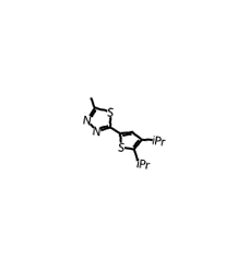 Cc1nnc(-c2cc(C(C)C)c(C(C)C)s2)s1